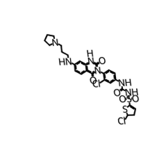 O=C(Nc1ccc(-n2c(=O)[nH]c3cc(NCCCN4CCCC4)ccc3c2=O)c(Cl)c1)NS(=O)(=O)C1=CCC(Cl)S1